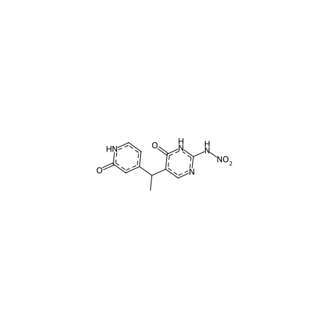 CC(c1cc[nH]c(=O)c1)c1cnc(N[N+](=O)[O-])[nH]c1=O